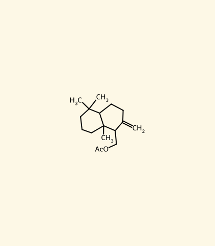 C=C1CCC2C(C)(C)CCCC2(C)C1COC(C)=O